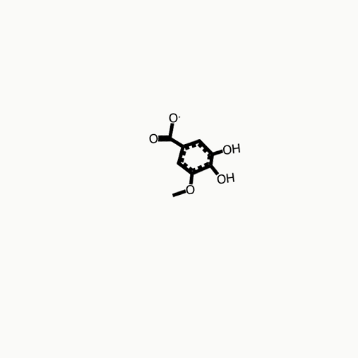 COc1cc(C([O])=O)cc(O)c1O